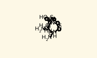 CN1C(=O)[C@H](CCCN)NC(=O)[C@H](CCCN)NCc2cccnc2Sc2c(F)ccc(-c3ccc(C(=O)O)nc3)c2CNC(=O)[C@@H]1Cc1c[nH]c2ccccc12